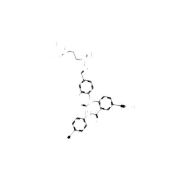 C#Cc1ccc(NC(=O)c2cc(C#C)ccc2N(C=O)c2ccc(C=NN(C)CCN(C)C)cc2F)cc1